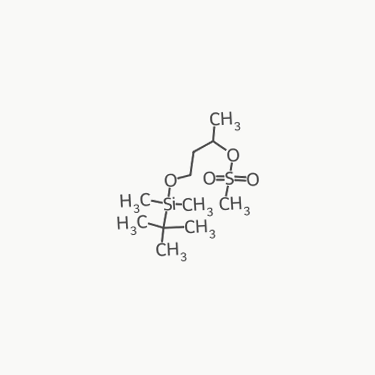 CC(CCO[Si](C)(C)C(C)(C)C)OS(C)(=O)=O